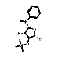 CC[C@H]1O[C@@H](N(C)c2ccccc2)[C@@H](F)C1O[Si](C)(C)C